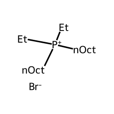 CCCCCCCC[P+](CC)(CC)CCCCCCCC.[Br-]